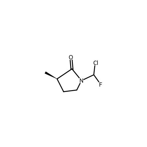 C[C@@H]1CCN(C(F)Cl)C1=O